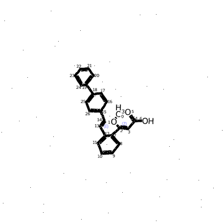 CO/C(=C\C(=O)O)c1ccccc1/C=C/c1ccc(-c2ccccc2)cc1